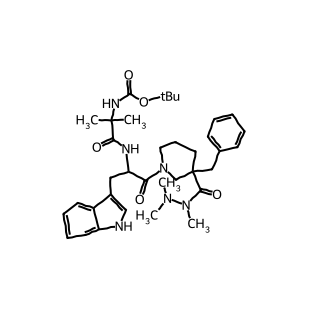 CN(C)N(C)C(=O)C1(Cc2ccccc2)CCCN(C(=O)C(Cc2c[nH]c3ccccc23)NC(=O)C(C)(C)NC(=O)OC(C)(C)C)C1